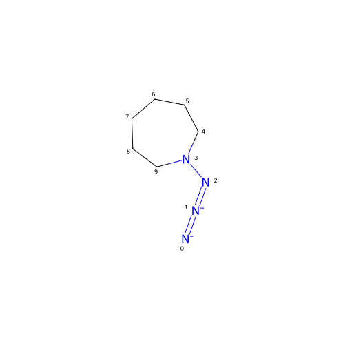 [N-]=[N+]=NN1CCCCCC1